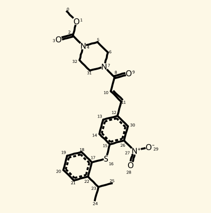 COC(=O)N1CCN(C(=O)C=Cc2ccc(Sc3ccccc3C(C)C)c([N+](=O)[O-])c2)CC1